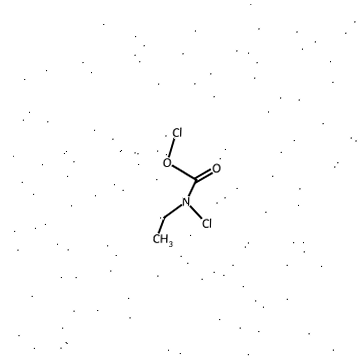 CCN(Cl)C(=O)OCl